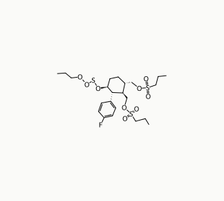 CCCOOSO[C@H]1CC[C@H](COS(=O)(=O)CCC)[C@@H](COS(=O)(=O)CCC)[C@@H]1c1ccc(F)cc1